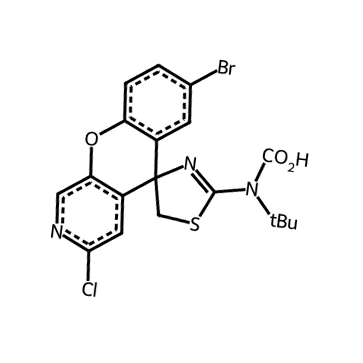 CC(C)(C)N(C(=O)O)C1=NC2(CS1)c1cc(Br)ccc1Oc1cnc(Cl)cc12